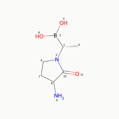 C[C@@H](B(O)O)N1CCC(N)C1=O